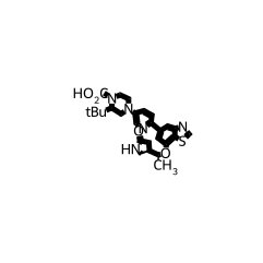 C[C@@H](Oc1cc(-c2ccc(N3CCN(C(=O)O)C(C(C)(C)C)C3)cn2)cc2ncsc12)[C@H]1CNC(=O)C1